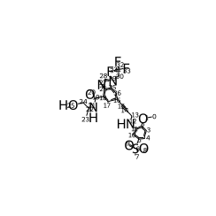 COc1ccc(S(C)(=O)=O)cc1NCC#Cc1cc(C(=O)NC(C)CO)c2ncn(CC(F)(F)F)c2c1